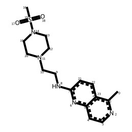 Cc1nccc2nc(NCCN3CCN(S(C)(=O)=O)CC3)ccc12